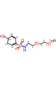 CCCOCCOCCNS(=O)(=O)C1=CCC(O)C=C1